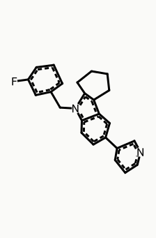 Fc1cccc(Cn2c3c(c4cc(-c5cccnc5)ccc42)CCCC3)c1